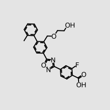 Cc1ccccc1-c1ccc(-c2nc(-c3ccc(C(=O)O)c(F)c3)no2)cc1COCCO